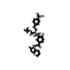 CC1Cc2ccccc2N1NC(=O)c1ccc(Cl)c(S(=O)(=O)N(CCc2ccc(C(=O)O)cc2)C(=O)OC(C)(C)C)c1